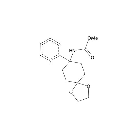 COC(=O)NC1(c2ccccn2)CCC2(CC1)OCCO2